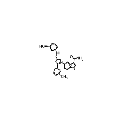 C#Cc1cccc(NCc2cn(-c3ccc4ncc(C(N)=O)n4c3)c(-c3cccc(C)n3)n2)c1